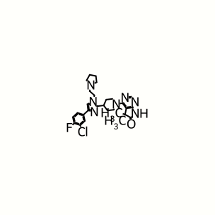 CC1(C)C(=O)Nc2ncnc(N3CCC(c4nc(-c5ccc(F)c(Cl)c5)cn4CCN4CCCC4)CC3)c21